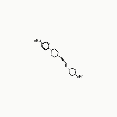 CCCCc1ccc([C@H]2CC[C@H](C#CC=C[C@H]3CC[C@H](CCC)CC3)CC2)cc1